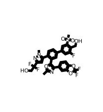 Cc1nc(-c2ccc3c(c2)OC(F)(F)O3)c(-c2cc(-c3cc(F)c(CO)c(S(C)(=O)=O)c3)ccc2-c2cc(C(F)(F)CO)nn2C)o1